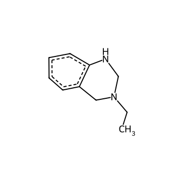 CCN1CNc2ccccc2C1